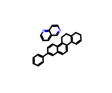 C1=CC2=C(CC1)CCc1c2ccc2cc(-c3ccccc3)ccc12.c1cnc2ccncc2c1